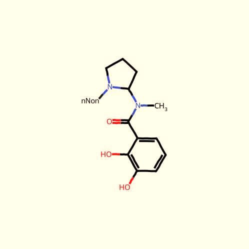 CCCCCCCCCN1CCCC1N(C)C(=O)c1cccc(O)c1O